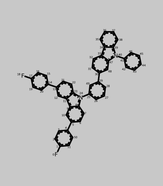 Fc1ccc(-c2ccc3c(c2)c2cc(-c4ccc(F)cc4)ccc2n3-c2cccc(-c3ccc4c5ccccc5n(-c5ccccc5)c4c3)c2)cc1